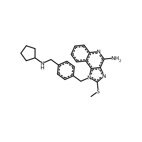 CSc1nc2c(N)nc3ccccc3c2n1Cc1ccc(CNC2CCCC2)cc1